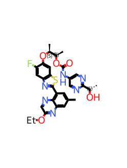 CCOc1cnc2c(-c3nc4cc(F)c(O[C@@H](C)[C@@H](C)OC(=O)Nc5cnc([C@H](C)O)nc5)cc4s3)cc(C)cc2n1